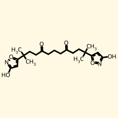 CC(C)(CCC(=O)CCCC(=O)CCC(C)(C)c1cc(O)no1)c1cc(O)no1